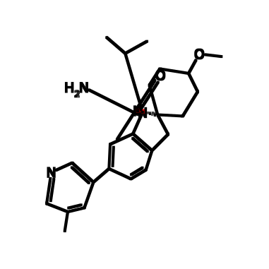 COC1CCC2(CC1)Cc1ccc(-c3cncc(C)c3)cc1[C@@]21N=C(N)N(C(C)C)C1=O